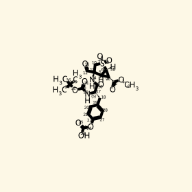 COC(=O)[C@@H]1[C@@H]2[C@H]1S(=O)(=O)C[C@]2(C=O)NC(=O)[C@H](Cc1ccc(OC(=O)O)cc1)NC(=O)OC(C)(C)C